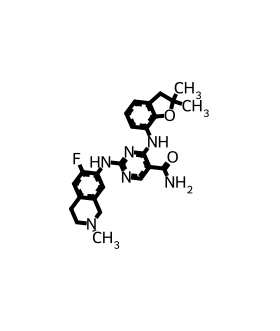 CN1CCc2cc(F)c(Nc3ncc(C(N)=O)c(Nc4cccc5c4OC(C)(C)C5)n3)cc2C1